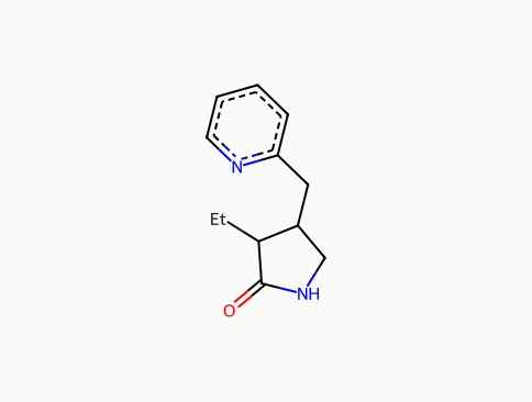 CCC1C(=O)NCC1Cc1ccccn1